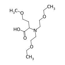 CCOCCN(CCOCC)C(CCOC)C(=O)O